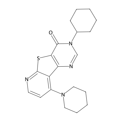 O=c1c2sc3nccc(N4CCCCC4)c3c2ncn1C1CCCCC1